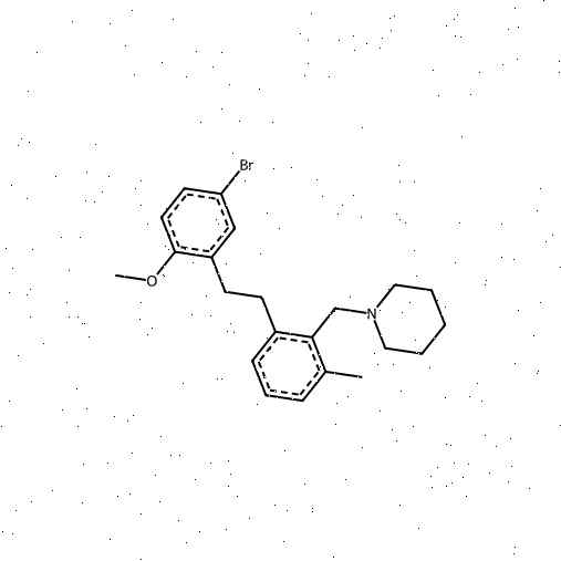 COc1ccc(Br)cc1CCc1cccc(C)c1CN1CCCCC1